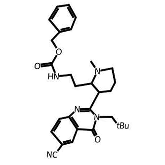 CN1CCCC(c2nc3ccc(C#N)cc3c(=O)n2CC(C)(C)C)C1CCNC(=O)OCc1ccccc1